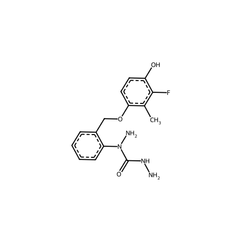 Cc1c(OCc2ccccc2N(N)C(=O)NN)ccc(O)c1F